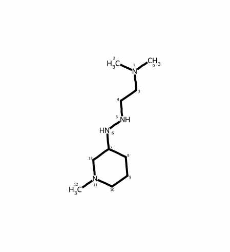 CN(C)CCNNC1CCCN(C)C1